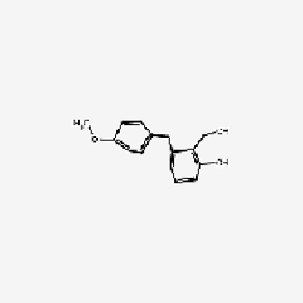 COc1ccc(Cc2cccc(O)c2CO)cc1